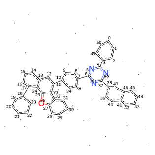 c1ccc(-c2nc(-c3ccc(-c4cc5cccc(-c6ccccc6)c5c5oc6ccccc6c45)cc3)nc(-c3ccc4ccccc4c3)n2)cc1